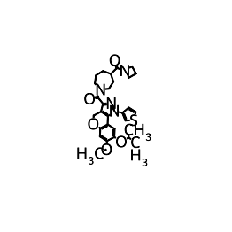 COc1cc2c(cc1OC(C)C)-c1c(c(C(=O)N3CCCC(C(=O)N4CCC4)CC3)nn1-c1ccsc1)CO2